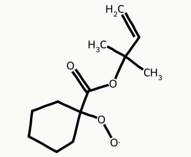 C=CC(C)(C)OC(=O)C1(O[O])CCCCC1